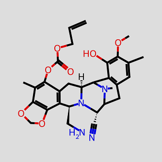 C=CCOC(=O)Oc1c(C)c2c(c3c1C[C@H]1C4c5c(cc(C)c(OC)c5O)CC([C@H](C#N)N1[C@H]3CN)N4C)OCO2